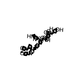 COc1ccc(CN2CCN(C3CC4(CCN(c5ccc(C(=O)NS(=O)(=O)c6ccc(NCC7CCC(C)(O)CC7)c([N+](=O)[O-])c6)c(Oc6cnc7[nH]ccc7c6)c5)CC4)C3)C(c3ccccc3CN3CCOCC3)C2)cc1